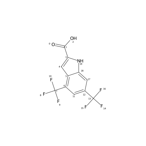 O=C(O)c1cc2c(C(F)(F)F)cc(C(F)(F)F)cc2[nH]1